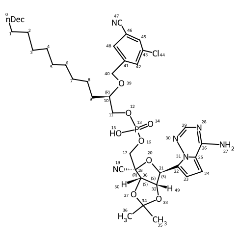 CCCCCCCCCCCCCCCCCCC[C@H](COP(=O)(O)OC[C@@]1(C#N)O[C@@H](c2ccc3c(N)ncnn23)[C@@H]2OC(C)(C)O[C@@H]21)OCc1cc(Cl)cc(C#N)c1